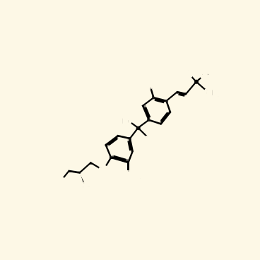 CCC(CC)(c1ccc(/C=C/C(O)(C(F)(F)F)C(F)(F)F)c(C)c1)c1ccc(OC[C@@H](O)CC(=O)O)c(C)c1